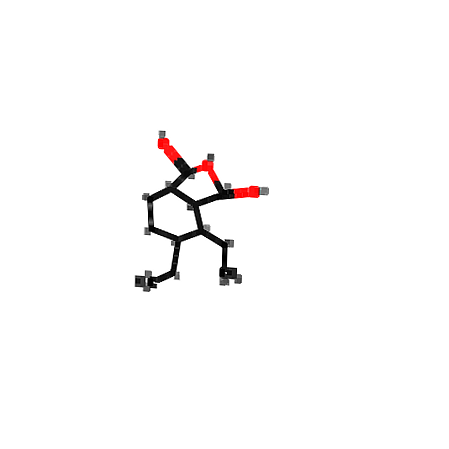 CCC1CCC2C(=O)OC(=O)C2C1CC